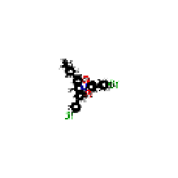 CC1c2cc(-c3ccc(Br)cc3)cc3c2N2c4c(cc(-c5ccc(Br)cc5)cc4Oc4cc(-c5ccc(C(C)(C)C)cc5)cc1c42)O3